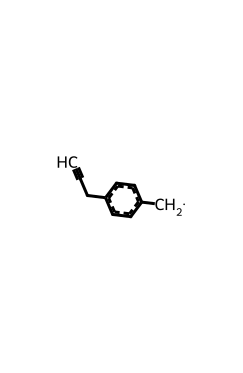 C#CCc1ccc([CH2])cc1